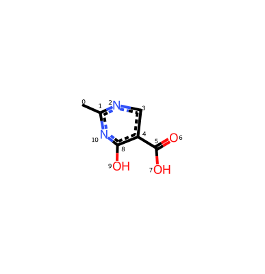 Cc1ncc(C(=O)O)c(O)n1